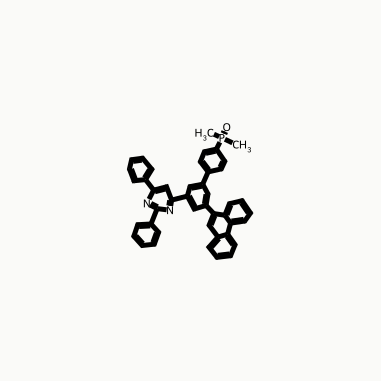 CP(C)(=O)c1ccc(-c2cc(-c3cc(-c4ccccc4)nc(-c4ccccc4)n3)cc(-c3cc4ccccc4c4ccccc34)c2)cc1